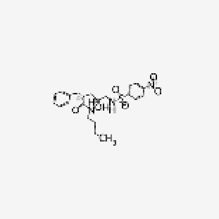 CCCCNC(=O)[C@H](Cc1ccccc1)C[C@H](O)CNS(=O)(=O)c1ccc([N+](=O)[O-])cc1